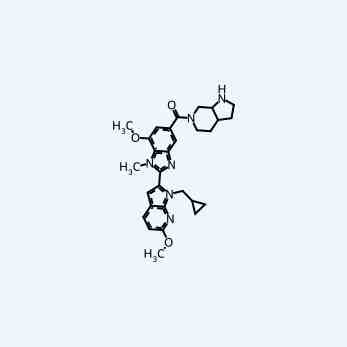 COc1ccc2cc(-c3nc4cc(C(=O)N5CCC6CCNC6C5)cc(OC)c4n3C)n(CC3CC3)c2n1